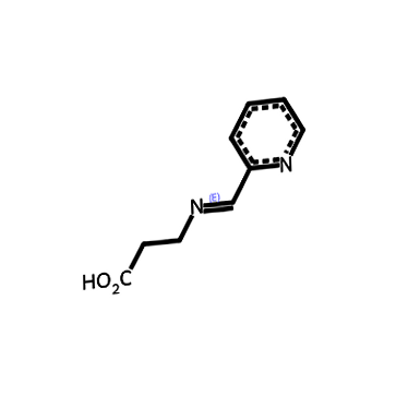 O=C(O)CC/N=C/c1ccccn1